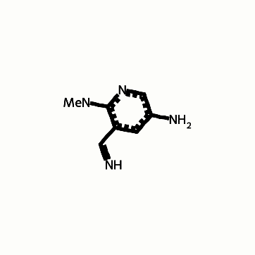 CNc1ncc(N)cc1C=N